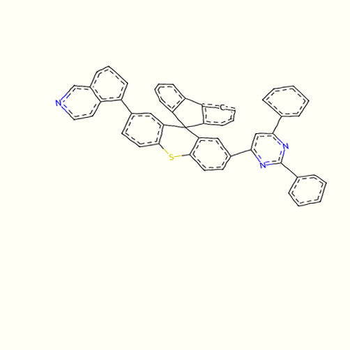 c1ccc(-c2cc(-c3ccc4c(c3)C3(c5cc(-c6cccc7cnccc67)ccc5S4)c4ccccc4-c4ccccc43)nc(-c3ccccc3)n2)cc1